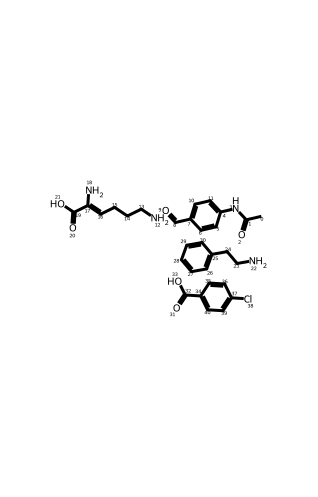 CC(=O)Nc1ccc(C=O)cc1.NCCCC=C(N)C(=O)O.NCCc1ccccc1.O=C(O)c1ccc(Cl)cc1